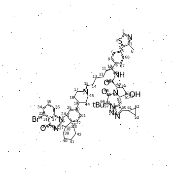 Cc1ncsc1-c1ccc([C@H](CCCCCN2CCC(c3ccc4c(c3)-n3c(nc(=O)c5c(Br)cccc53)C43CCCCC3)CC2)NC(=O)[C@H]2C[C@H](O)CN2C(=O)[C@@H](n2cc(C3CC3)nn2)C(C)(C)C)cc1